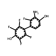 Nc1c(O)ccc(-c2c(F)c(F)c(O)c(F)c2F)c1F